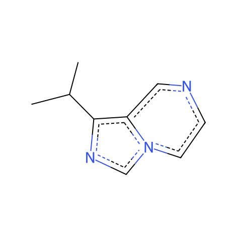 CC(C)c1ncn2ccncc12